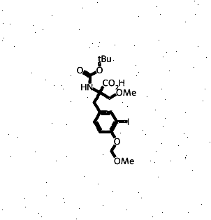 COCOc1ccc(CC(COC)(NC(=O)OC(C)(C)C)C(=O)O)cc1I